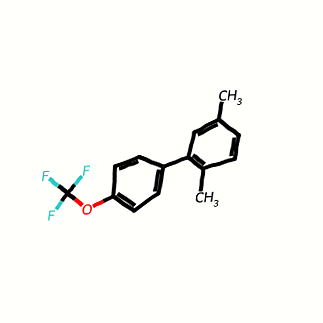 Cc1ccc(C)c(-c2ccc(OC(F)(F)F)cc2)c1